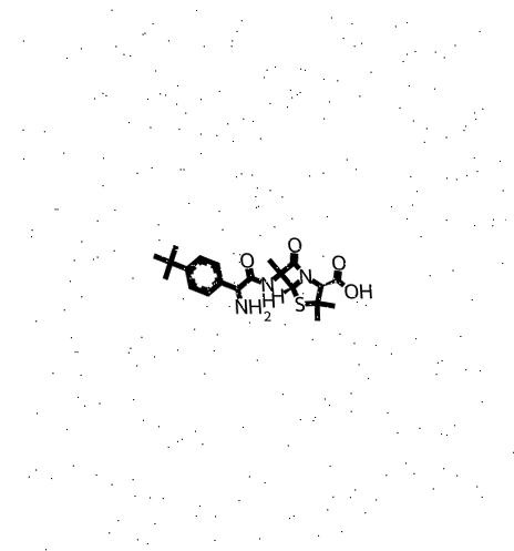 CC(C)(C)c1ccc(C(N)C(=O)NC2(C)C(=O)N3[C@@H](C(=O)O)C(C)(C)S[C@@H]32)cc1